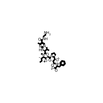 CC[C@H](C)[C@@H]([C@@H](CC(=O)N1CCC[C@H]1[C@H](OC)[C@@H](C)C(=O)NC(Cc1ccccc1)C(=O)OC)OC)N(C)C(=O)[C@@H](Nc1ncc(C(=O)NCCN)c(C)n1)C(C)C